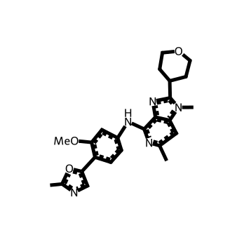 COc1cc(Nc2nc(C)cc3c2nc(C2CCOCC2)n3C)ccc1-c1cnc(C)o1